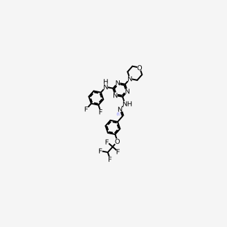 Fc1ccc(Nc2nc(N/N=C/c3cccc(OC(F)(F)C(F)F)c3)nc(N3CCOCC3)n2)cc1F